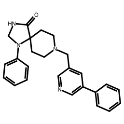 O=C1NCN(c2ccccc2)C12CCN(Cc1cncc(-c3ccccc3)c1)CC2